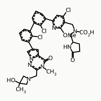 COc1nc(-c2cccc(-c3cccc(-c4cc5c(=O)n(C)c(CN6CC(C)(O)C6)nn5c4)c3Cl)c2Cl)cc(Cl)c1CN(CC1CCC(=O)N1)C(=O)O